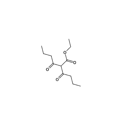 CCCC(=O)C(C(=O)CCC)C(=O)OCC